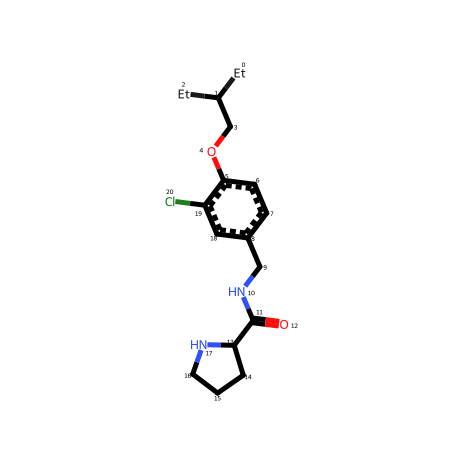 CCC(CC)COc1ccc(CNC(=O)C2CCCN2)cc1Cl